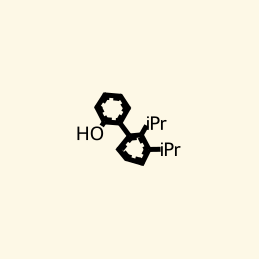 CC(C)c1cccc(-c2ccccc2O)c1C(C)C